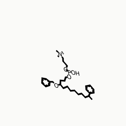 CC(CCCCCCCC(CCCOP(O)OCCC[N+](C)(C)C)OCc1ccccc1)c1ccccc1